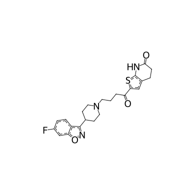 O=C1CCc2cc(C(=O)CCCN3CCC(c4noc5cc(F)ccc45)CC3)sc2N1